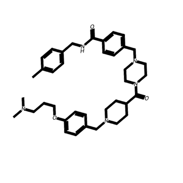 Cc1ccc(CNC(=O)c2ccc(CN3CCN(C(=O)C4CCN(Cc5ccc(OCCCN(C)C)cc5)CC4)CC3)cc2)cc1